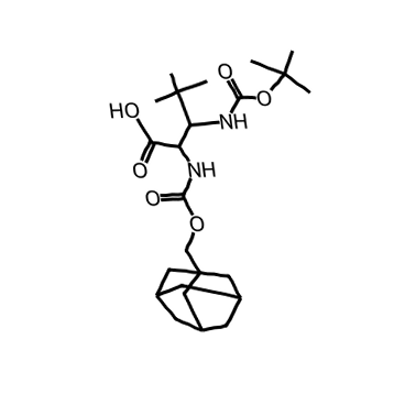 CC(C)(C)OC(=O)NC(C(NC(=O)OCC12CC3CC(CC(C3)C1)C2)C(=O)O)C(C)(C)C